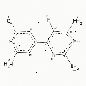 Nc1cc(Cl)cc(-c2nc(N)nc(N)c2F)c1